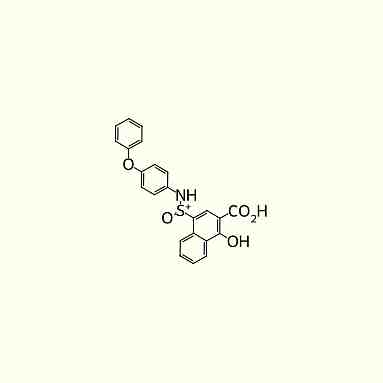 O=C(O)c1cc([S+]([O-])Nc2ccc(Oc3ccccc3)cc2)c2ccccc2c1O